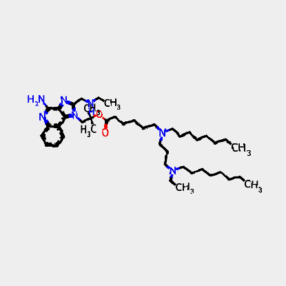 CCCCCCCCN(CC)CCCN(CCCCCCCC)CCCCCC(=O)OC(C)(C)Cn1c(CNCC)nc2c(N)nc3ccccc3c21